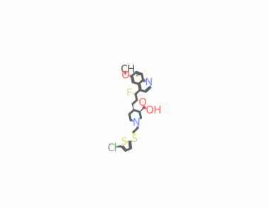 COc1ccc2nccc([C@@H](F)CC[C@@H]3CCN(CCSc4ccc(Cl)s4)C[C@@H]3C(=O)O)c2c1